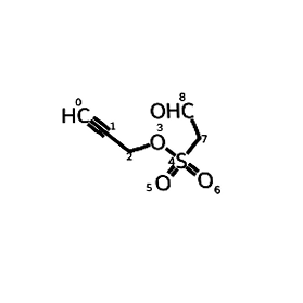 C#CCOS(=O)(=O)CC=O